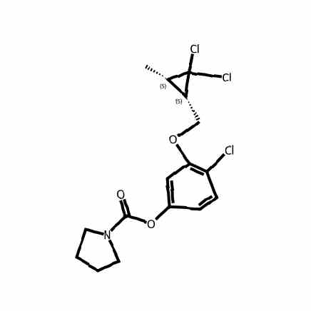 C[C@H]1[C@@H](COc2cc(OC(=O)N3CCCC3)ccc2Cl)C1(Cl)Cl